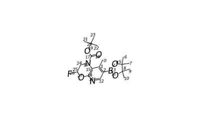 Cc1c(B2OC(C)(C)C(C)(C)O2)cnc2c1N(C(=O)OC(C)(C)C)CC(F)O2